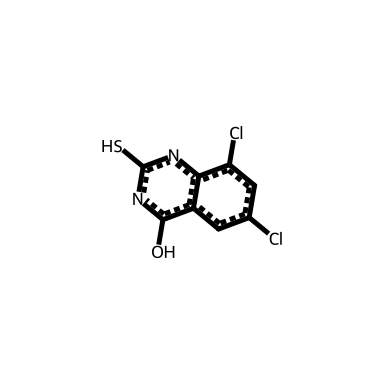 Oc1nc(S)nc2c(Cl)cc(Cl)cc12